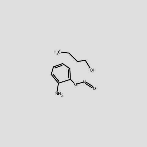 CCCCO.Nc1ccccc1ON=O